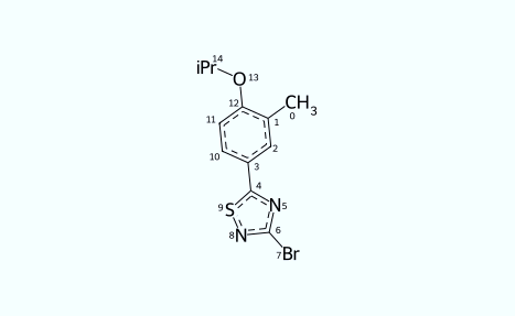 Cc1cc(-c2nc(Br)ns2)ccc1OC(C)C